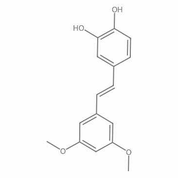 COc1cc(/C=C/c2ccc(O)c(O)c2)cc(OC)c1